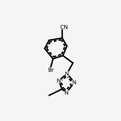 Cc1nnn(Cc2cc(C#N)ccc2Br)n1